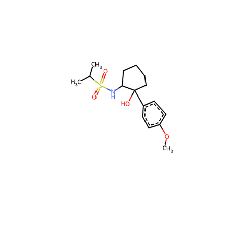 COc1ccc(C2(O)CCCCC2NS(=O)(=O)C(C)C)cc1